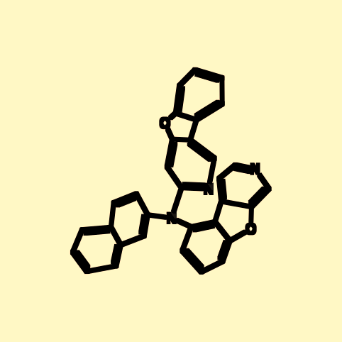 c1ccc2cc(N(c3cc4oc5ccccc5c4cn3)c3cccc4oc5cnccc5c34)ccc2c1